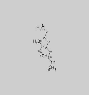 BCC=C.CCCCCCCCC